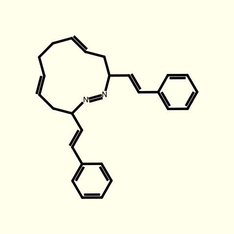 C(=CC1C/C=C/CC/C=C/CC(C=Cc2ccccc2)/N=N/1)c1ccccc1